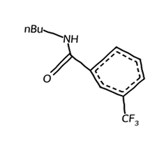 CCCCNC(=O)c1cccc(C(F)(F)F)c1